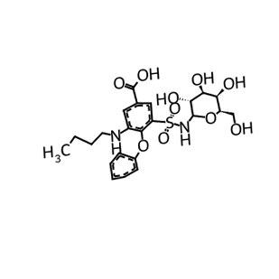 CCCCNc1cc(C(=O)O)cc(S(=O)(=O)NC2O[C@H](CO)[C@H](O)[C@H](O)[C@H]2O)c1Oc1ccccc1